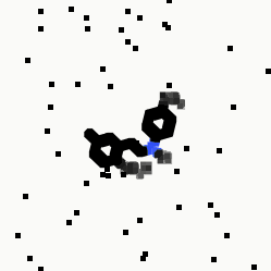 CCN(CCc1cc(C)ccc1S(=O)(=O)O)c1ccc([N+](=O)[O-])cc1